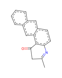 CC1=Nc2ccc3cc4ccccc4cc3c2C(=O)C1